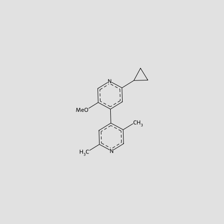 COc1cnc(C2CC2)cc1-c1cc(C)ncc1C